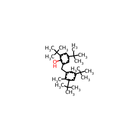 Cc1c(Cc2cc(C(C)(C)C)cc(C(C)(C)C)c2O)cc(C(C)(C)C)cc1C(C)(C)C